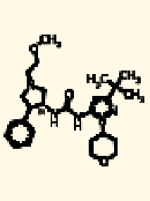 COCCN1CC(c2ccccc2)[C@H](NC(=O)Nc2cc(C(C)(C)C)nn2C2CCOCC2)C1